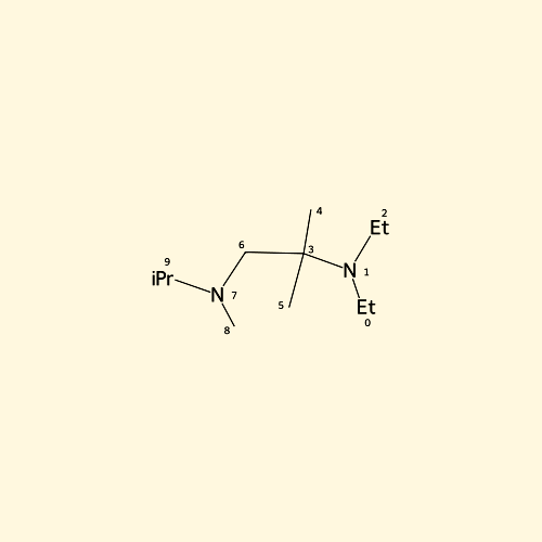 CCN(CC)C(C)(C)CN(C)C(C)C